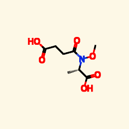 CON(C(=O)CCC(=O)O)[C@@H](C)C(=O)O